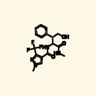 CNC(=O)C(NC(=O)c1cn(C)nc1C(F)(F)F)C(CO)c1ccccc1